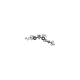 Cc1cc(CNC2CC(C(=O)O)C2)ccc1-c1nc(-c2ccc(OC(C)C)cc2)no1